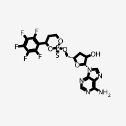 Nc1ncnc2c1ncn2[C@@H]1O[C@H](COP2(=S)OCCC(c3c(F)c(F)c(F)c(F)c3F)O2)CC1O